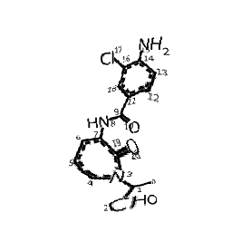 CC(C=O)n1cccc(NC(=O)c2ccc(N)c(Cl)c2)c1=O